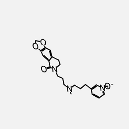 CN(CCCc1ccc[n+]([O-])c1)CCCN1CCc2cc3c(cc2C1=O)OCO3